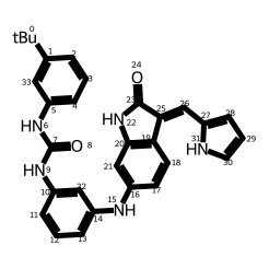 CC(C)(C)c1cccc(NC(=O)Nc2cccc(Nc3ccc4c(c3)NC(=O)C4=Cc3ccc[nH]3)c2)c1